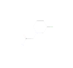 NC(=O)CN1CCCC(F)C1